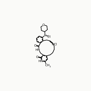 CCN(c1cccc2c1CC=CCCCCc1cc(C)[nH]c(=O)c1CNC2=O)C1CCOCC1.Cl